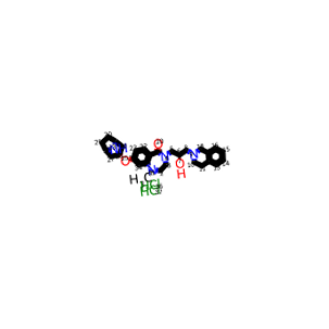 CN1CCN(C[C@H](O)CN2CCc3ccccc3C2)C(=O)c2ccc(OC3CC4CCC(C3)N4)cc21.Cl.Cl